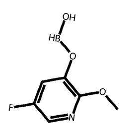 COc1ncc(F)cc1OBO